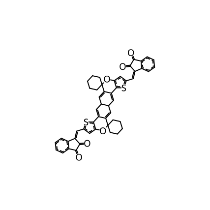 O=C1C(=O)c2ccccc2/C1=C/c1cc2c(s1)C1=CC3C=C4C(=CC3C=C1C1(CCCCC1)O2)c1sc(/C=C2\C(=O)C(=O)c3ccccc32)cc1OC41CCCCC1